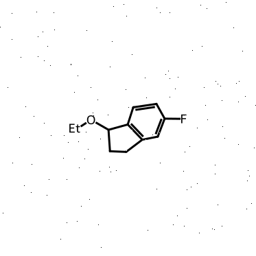 CCOC1CCc2cc(F)ccc21